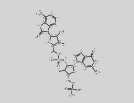 CC1[C@@H](COP(=O)(O)S)O[C@@H](n2cnc3c(=O)[nH]c(N)nc32)[C@H]1OP(=O)(S)OC[C@H]1O[C@@H](n2c(=O)sc3c(N)ncnc32)C(O)[C@H]1C